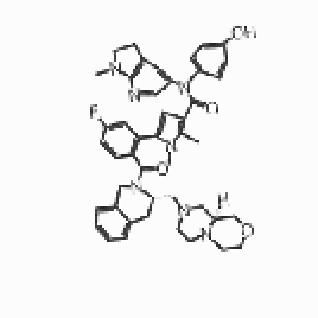 Cc1c(C(=O)N(c2ccc(O)cc2)c2cnc3c(c2)CCN3C)cc(-c2cc(F)ccc2C(=O)N2Cc3ccccc3C[C@H]2CN2CCN3CCOC[C@@H]3C2)n1C